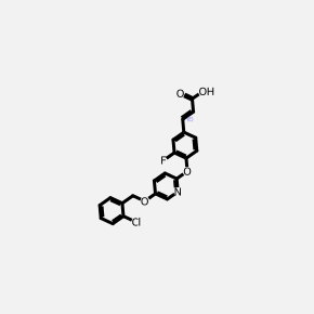 O=C(O)/C=C/c1ccc(Oc2ccc(OCc3ccccc3Cl)cn2)c(F)c1